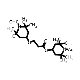 CC(=O)N1C(C)(C)CC(OC(=O)CCOC2CC(C)(C)N(C=O)C(C)(C)C2)CC1(C)C